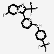 Fc1ccc2nc(C(F)(F)F)c(-c3cccc(Nc4ccc(C(F)(F)F)cc4)n3)n2c1